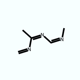 C=N/C(C)=N\C=N/C